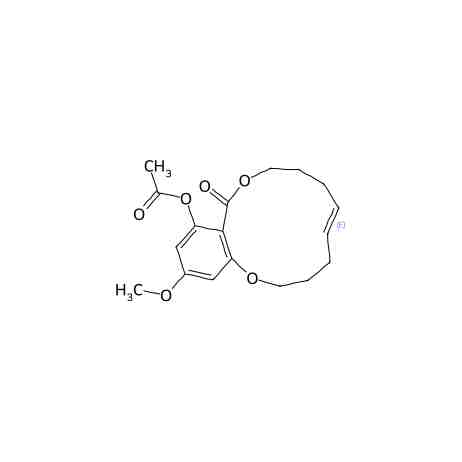 COc1cc2c(c(OC(C)=O)c1)C(=O)OCCC/C=C/CCCO2